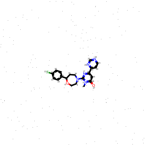 Cn1c(N2CCOC(c3ccc(F)cc3)CC2)nc(-c2ccncn2)cc1=O